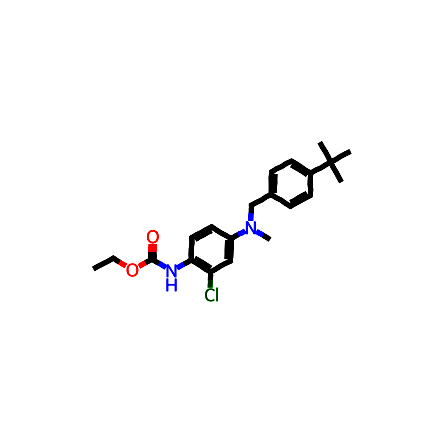 CCOC(=O)Nc1ccc(N(C)Cc2ccc(C(C)(C)C)cc2)cc1Cl